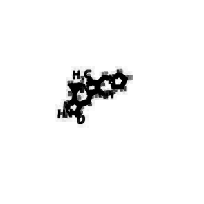 Cc1[nH]c(C=C2C(=O)NN=C2C2CC2)c(C(C)C)c1CN1CCCC1